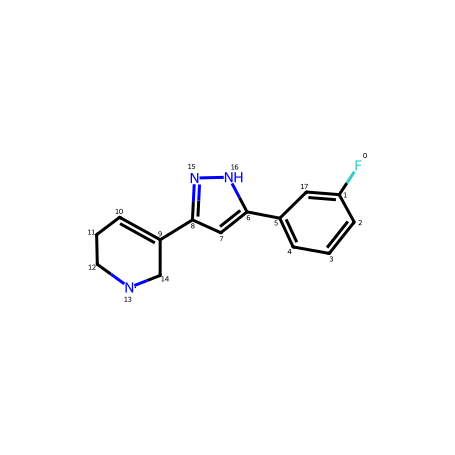 Fc1cccc(-c2cc(C3=CCC[N]C3)n[nH]2)c1